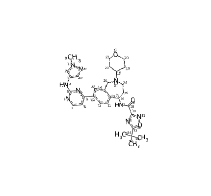 Cn1cc(Nc2nccc(-c3ccc4c(c3)CN(C3CCOCC3)CC[C@H]4NC(=O)c3noc(C(C)(C)C)n3)n2)cn1